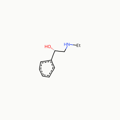 CCNC[C@@H](O)c1ccccc1